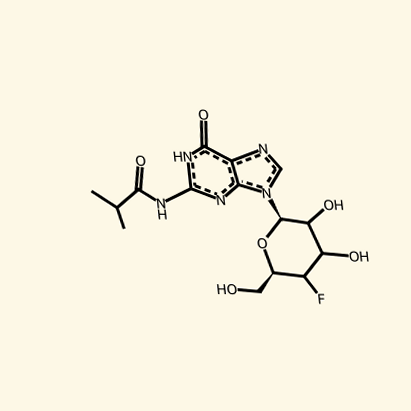 CC(C)C(=O)Nc1nc2c(ncn2[C@@H]2O[C@H](CO)C(F)C(O)C2O)c(=O)[nH]1